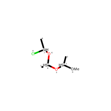 CO[SiH](C)O[SiH](C)O[SiH](C)Cl